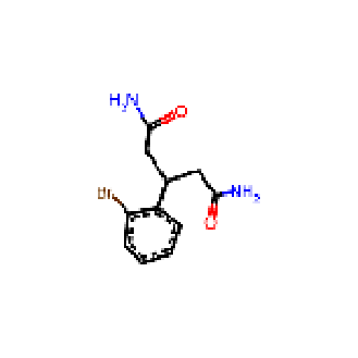 NC(=O)CC(CC(N)=O)c1ccccc1Br